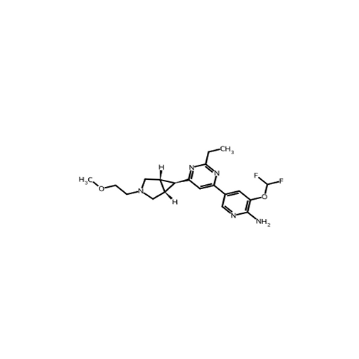 CCc1nc(-c2cnc(N)c(OC(F)F)c2)cc([C@H]2[C@@H]3CN(CCOC)C[C@@H]32)n1